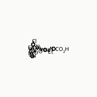 CCC(CN1CCC(C(=O)O)CC1)N1CCN(C(=O)Cn2cc(NC(=O)c3cnn4cccnc34)c(-c3cc(Cl)ccc3OC(F)F)n2)CC1